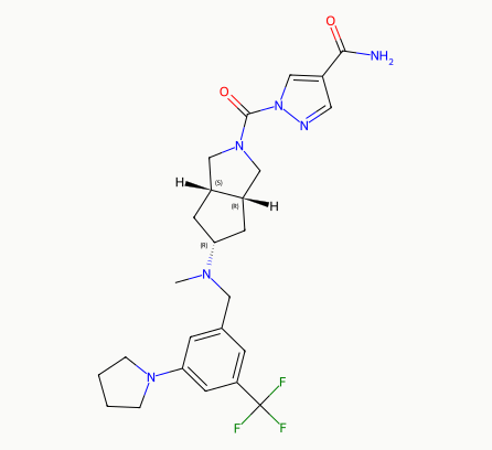 CN(Cc1cc(N2CCCC2)cc(C(F)(F)F)c1)[C@@H]1C[C@@H]2CN(C(=O)n3cc(C(N)=O)cn3)C[C@@H]2C1